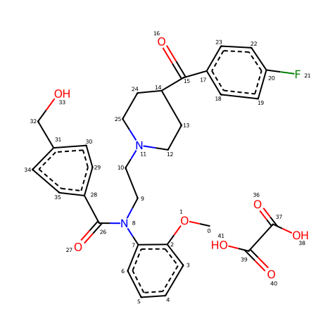 COc1ccccc1N(CCN1CCC(C(=O)c2ccc(F)cc2)CC1)C(=O)c1ccc(CO)cc1.O=C(O)C(=O)O